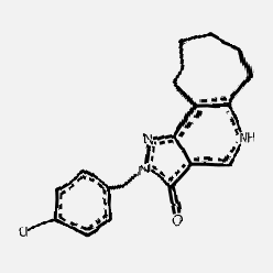 O=c1c2c[nH]c3c(c-2nn1-c1ccc(Cl)cc1)CCCCC3